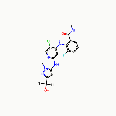 [2H]C([2H])(O)c1cc(Nc2cc(Nc3c(F)cccc3C(=O)NC)c(Cl)cn2)n(C)n1